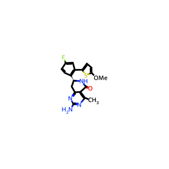 COc1ccc(-c2cc(F)ccc2[C@H]2Cc3nc(N)nc(C)c3C(=O)N2)s1